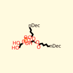 CCCCCCCCCCCCCCC(=O)OC[C@H](COP(=O)(O)OC[C@@H](O)CO)OC(=O)CCCCCCCCCCCCCC